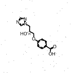 O=C(O)c1ccc(OC[C@H](O)Cn2cncn2)cc1